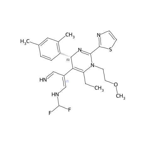 CCC1=C(/C(C=N)=C/NC(F)F)[C@H](c2ccc(C)cc2C)N=C(c2nccs2)N1CCOC